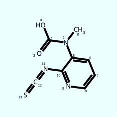 CN(C(=O)O)c1cccnc1N=C=S